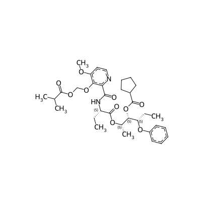 CC[C@H](NC(=O)c1nccc(OC)c1OCOC(=O)C(C)C)C(=O)O[C@@H](C)[C@H](OC(=O)C1CCCC1)[C@H](CC)Oc1ccccc1